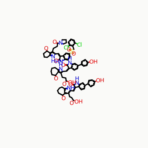 O=C(O)CCc1c(C=C2C(=O)Nc3cc(-c4ccc(O)cc4)ccc32)[nH]c2c1C(=O)CCCC2.O=C(O)CCc1c(C=C2C(=O)Nc3cc(-c4ccc(O)cc4)ccc32)[nH]c2c1C(=O)CCCC2.O=C1Nc2ccc(S(=O)(=O)Cc3c(Cl)cccc3Cl)cc2C1=Cc1[nH]c2c(c1CCC(=O)N1CCCC1)C(=O)CCC2